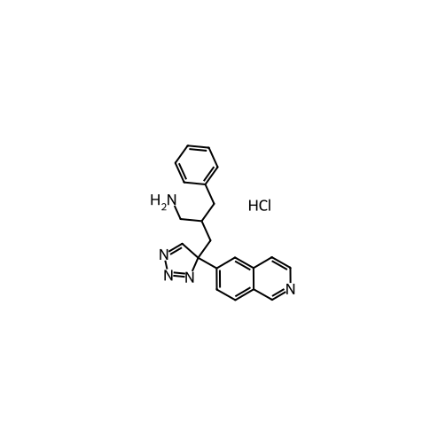 Cl.NCC(Cc1ccccc1)CC1(c2ccc3cnccc3c2)C=NN=N1